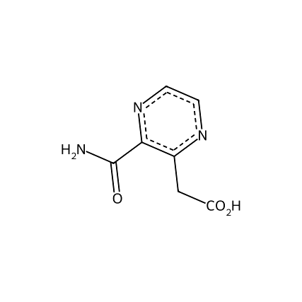 NC(=O)c1nccnc1CC(=O)O